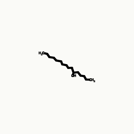 CCCCCCCCC[CH]C(O)CCCCC